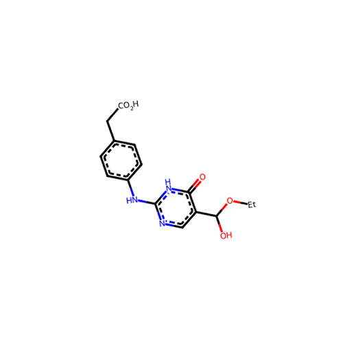 CCOC(O)c1cnc(Nc2ccc(CC(=O)O)cc2)[nH]c1=O